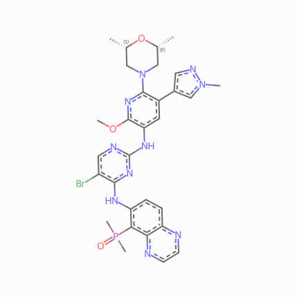 COc1nc(N2C[C@@H](C)O[C@@H](C)C2)c(-c2cnn(C)c2)cc1Nc1ncc(Br)c(Nc2ccc3nccnc3c2P(C)(C)=O)n1